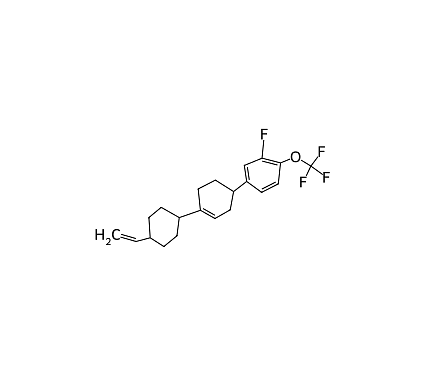 C=CC1CCC(C2=CCC(c3ccc(OC(F)(F)F)c(F)c3)CC2)CC1